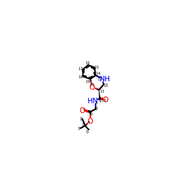 CC(C)(C)OC(=O)CNC(=O)[C@@H]1CNc2ccccc2O1